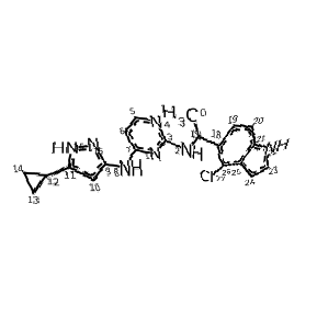 C[C@H](Nc1nccc(Nc2cc(C3CC3)[nH]n2)n1)c1ccc2[nH]ccc2c1Cl